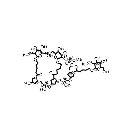 COP(=O)(O)OC[C@@H]1C[C@@H](OP(=O)(O)OC[C@@H]2C[C@@H](OP(=O)(O)OC[C@@H]3C[C@@H](O)CN3C(=O)CCCCO[C@@H]3OC(CO)[C@H](O)[C@H](O)C3NC(C)=O)CN2C(=O)CCCCO[C@@H]2OC(CO)[C@H](O)[C@H](O)C2NC(C)=O)CN1C(=O)CCCCO[C@@H]1OC(CO)[C@H](O)[C@H](O)C1NC(C)=O